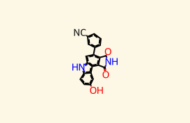 N#Cc1cccc(-c2cc3[nH]c4ccc(O)cc4c3c3c2C(=O)NC3=O)c1